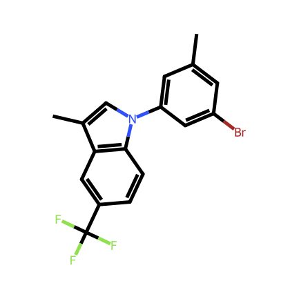 Cc1cc(Br)cc(-n2cc(C)c3cc(C(F)(F)F)ccc32)c1